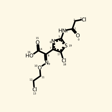 O=C(CCl)Nc1nc(C(=NOCCCl)C(=O)O)c(Cl)s1